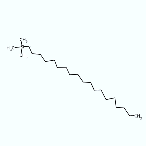 CCCCCCCCCCCCCCCCCC[CH][Si](C)(C)C